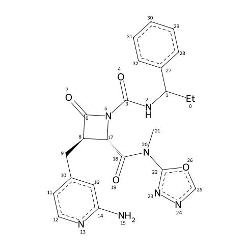 CCC(NC(=O)N1C(=O)[C@H](Cc2ccnc(N)c2)[C@H]1C(=O)N(C)c1nnco1)c1ccccc1